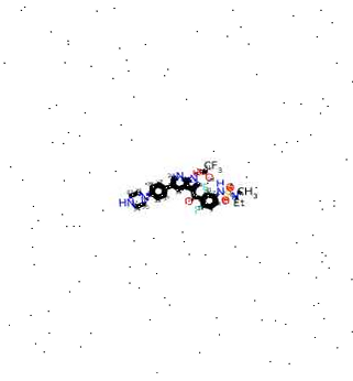 CCN(C)S(=O)(=O)Nc1ccc(F)c(C(=O)c2cn(OC(=O)C(F)(F)F)c3ncc(-c4ccc(N5CCNCC5)cc4)cc23)c1F